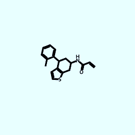 C=CC(=O)NC1Cc2sccc2C(c2ccccc2C)C1